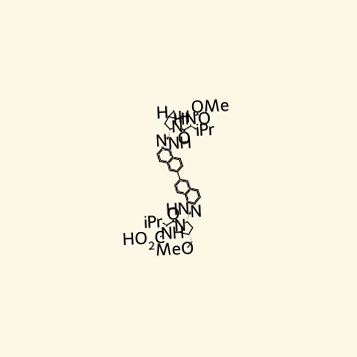 COC[C@H]1C[C@@H](c2nc3ccc4cc(-c5ccc6c(ccc7nc([C@@H]8C[C@H]9C[C@H]9N8C(=O)[C@@H](NC(=O)OC)C(C)C)[nH]c76)c5)ccc4c3[nH]2)N(C(=O)[C@@H](NC(=O)O)C(C)C)C1